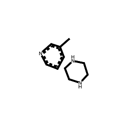 C1CNCCN1.Cc1cccnc1